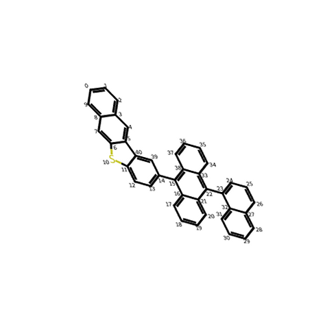 c1ccc2cc3c(cc2c1)sc1ccc(-c2c4ccccc4c(-c4cccc5ccccc45)c4ccccc24)cc13